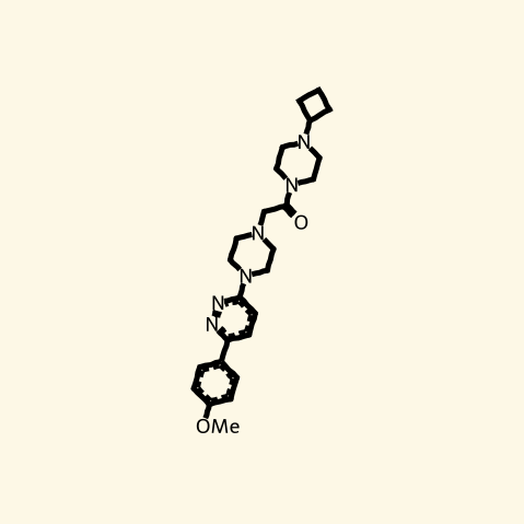 COc1ccc(-c2ccc(N3CCN(CC(=O)N4CCN(C5CCC5)CC4)CC3)nn2)cc1